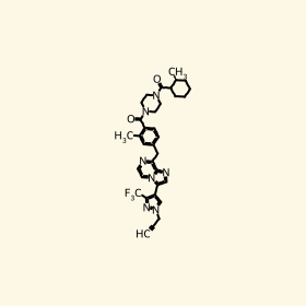 C#CCn1cc(-c2cnc3c(Cc4ccc(C(=O)N5CCN(C(=O)C6CCCC[C@@H]6C)CC5)c(C)c4)nccn23)c(C(F)(F)F)n1